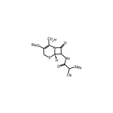 COC1=C(C(=O)O)N2C(=O)C(NC(=O)C(C#N)SC)[C@@H]2SC1